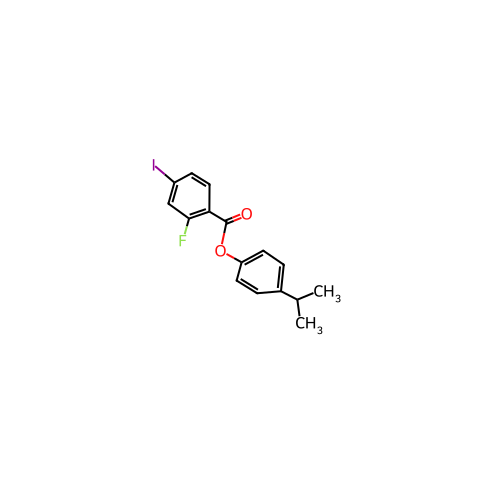 CC(C)c1ccc(OC(=O)c2ccc(I)cc2F)cc1